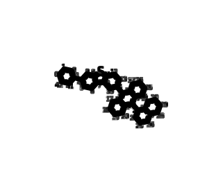 c1ccc(-c2ccc3c(c2)sc2ccc(-c4c5ccccc5c(-c5cccc6ccccc56)c5ccccc45)cc23)cc1